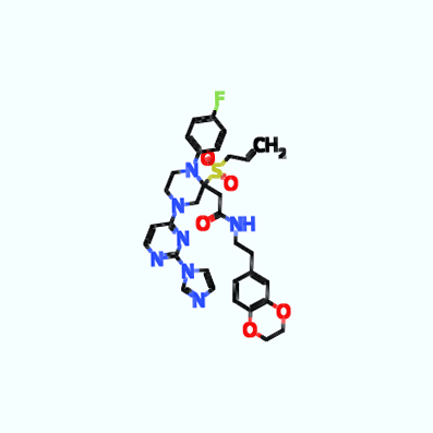 C=CCS(=O)(=O)C1(CC(=O)NCCc2ccc3c(c2)OCCO3)CN(c2ccnc(-n3ccnc3)n2)CCN1c1ccc(F)cc1